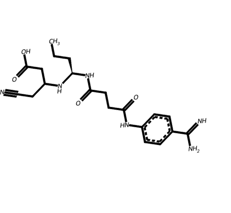 CCC[C@@H](NC(=O)CCC(=O)Nc1ccc(C(=N)N)cc1)NC(CC#N)CC(=O)O